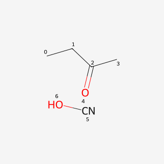 CCC(C)=O.N#CO